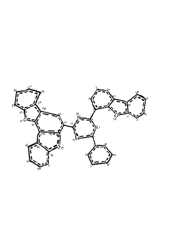 c1ccc(-c2nc(-c3cccc4c3oc3ccccc34)nc(-c3cc4c5ccccc5oc4c4c3sc3ccccc34)n2)cc1